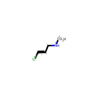 O=C(O)NC/C=C/Cl